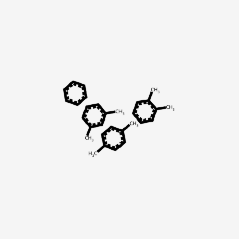 Cc1ccc(C)cc1.Cc1cccc(C)c1.Cc1ccccc1C.c1ccccc1